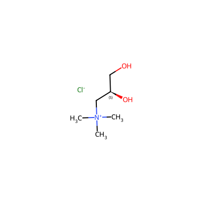 C[N+](C)(C)C[C@H](O)CO.[Cl-]